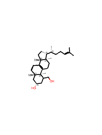 CC(C)=CCC[C@@H](C)[C@H]1CC[C@H]2C3=C(CC[C@]12C)[C@@]1(C)C(CO)C[C@H](O)C[C@@H]1CC3